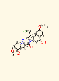 COc1ccc2c(O)cc3c(c2c1)[C@H](CCl)CN3C(=O)c1cc2c3c(ccc2[nH]1)OCCO3